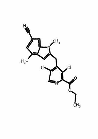 CCOC(=O)c1ncc(Cl)c(Cc2cc3c(C)cc(C#N)cc3n2C)c1Cl